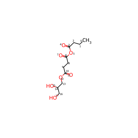 CCCC(=O)OC(=O)CCC(=O)OCC(O)CO